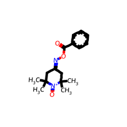 CC1(C)CC(=NOC(=O)c2ccccc2)CC(C)(C)[N+]1=O